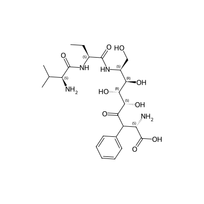 CC[C@H](NC(=O)[C@@H](N)C(C)C)C(=O)N[C@@H](CO)[C@@H](O)[C@@H](O)[C@H](O)C(=O)C(c1ccccc1)[C@H](N)C(=O)O